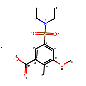 CCN(CC)S(=O)(=O)c1cc(OC)c(C)c(C(=O)O)c1